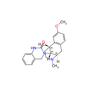 COc1ccc2c(c1)[C@@]1(C)CCN(C)[C@H](C2)[C@@H]1N1Cc2ccccc2NC1=O